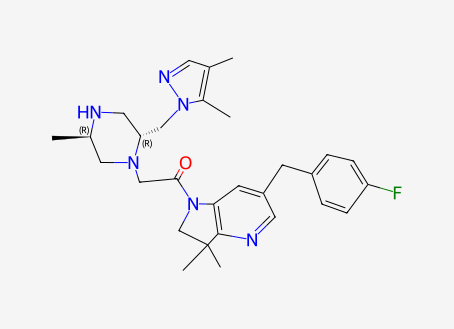 Cc1cnn(C[C@H]2CN[C@H](C)CN2CC(=O)N2CC(C)(C)c3ncc(Cc4ccc(F)cc4)cc32)c1C